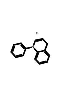 C1=CN(c2ccccc2)c2ccccc2C1.[Ir]